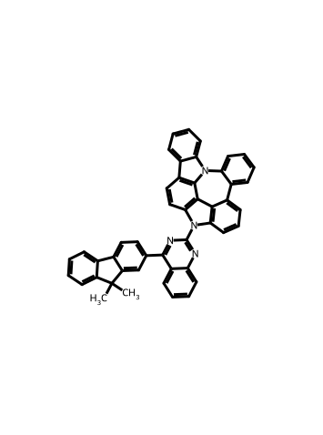 CC1(C)c2ccccc2-c2ccc(-c3nc(-n4c5cccc6c7ccccc7n7c8ccccc8c8ccc4c(c65)c87)nc4ccccc34)cc21